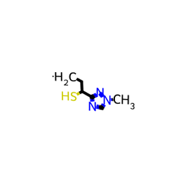 [CH2]CC(S)c1ncn(C)n1